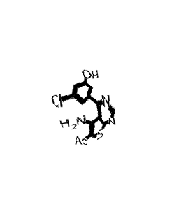 CC(=O)c1sc2ncnc(-c3cc(O)cc(Cl)c3)c2c1N